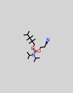 CC(C)N(B(OCCC#N)OCC(C)(C)C(C)(C)C(C)C)C(C)C